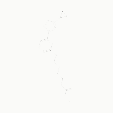 COC(=O)CCCCCNc1cccc(-c2nnc(C3CC3)o2)c1